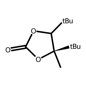 CC(C)(C)C1OC(=O)O[C@]1(C)C(C)(C)C